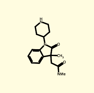 CNC(=O)CC1(C)C(=O)N(C2CCNCC2)c2ccccc21